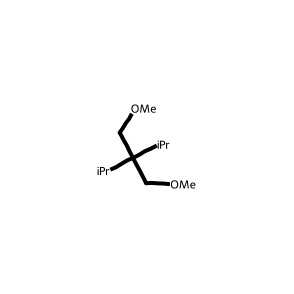 COCC(COC)(C(C)C)C(C)C